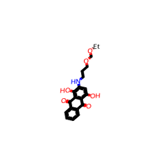 CCOCOCCCNc1cc(O)c2c(c1O)C(=O)c1ccccc1C2=O